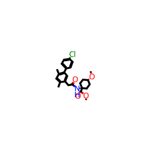 COC(=O)[C@]1(NC(=O)Cc2cc(-c3ccc(Cl)cc3)c(C)cc2C)CC[C@@H](OC)CC1